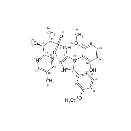 COC1=CC(c2nnc(NS(=O)(=O)[C@@H](C)[C@H](C)c3ncc(C)cn3)n2-c2c(O)cccc2OC)=C=C=N1